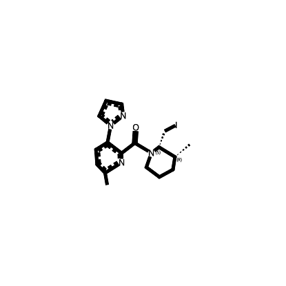 Cc1ccc(-n2cccn2)c(C(=O)N2CCC[C@@H](C)[C@H]2CI)n1